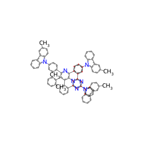 Cc1ccc2c(c1)c1ccccc1n2-c1ccc(-c2nc(-c3ccc(-n4c5ccccc5c5cc(C)ccc54)cc3)c(-c3c(C)cccc3C)c(-c3ccccc3-c3nc(-c4ccccc4)nc(-c4ccccc4)n3)c2-c2ccc(-n3c4ccccc4c4cc(C)ccc43)cc2)cc1